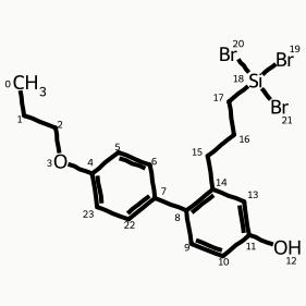 CCCOc1ccc(-c2ccc(O)cc2CCC[Si](Br)(Br)Br)cc1